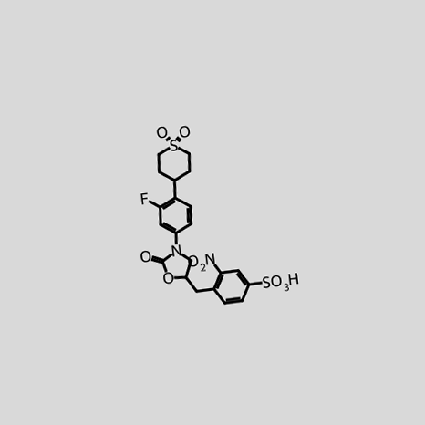 O=C1OC(Cc2ccc(S(=O)(=O)O)cc2[N+](=O)[O-])CN1c1ccc(C2CCS(=O)(=O)CC2)c(F)c1